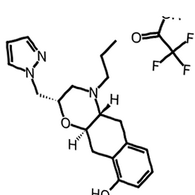 CCCN1C[C@@H](Cn2cccn2)O[C@@H]2Cc3c(O)cccc3C[C@H]21.O=C(O)C(F)(F)F